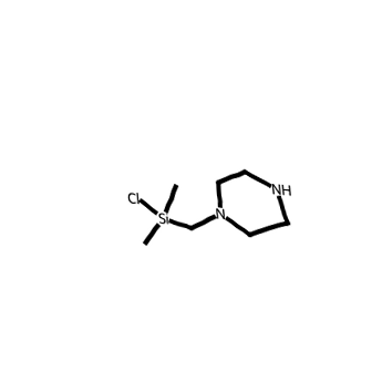 C[Si](C)(Cl)CN1CCNCC1